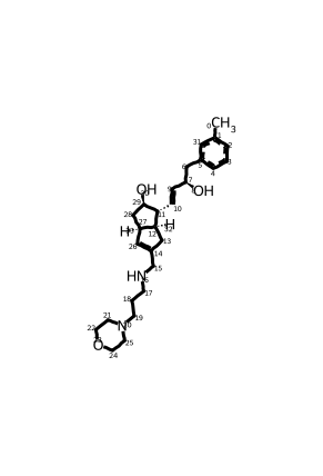 Cc1cccc(C[C@@H](O)/C=C/[C@@H]2[C@H]3CC(CNCCCN4CCOCC4)=C[C@H]3C[C@H]2O)c1